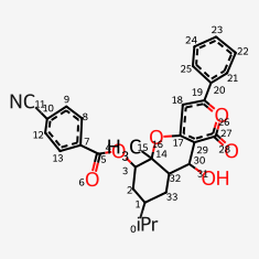 CC(C)C1CC(OC(=O)c2ccc(C#N)cc2)C2(C)Oc3cc(-c4ccccc4)oc(=O)c3C(O)C2C1